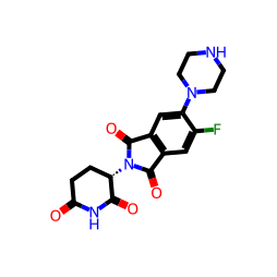 O=C1CC[C@H](N2C(=O)c3cc(F)c(N4CCNCC4)cc3C2=O)C(=O)N1